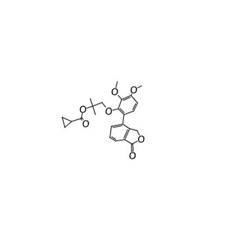 COc1ccc(-c2cccc3c2COC3=O)c(OCC(C)(C)OC(=O)C2CC2)c1OC